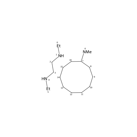 CCNCCNCC.CNC1CCCCCCCCC1